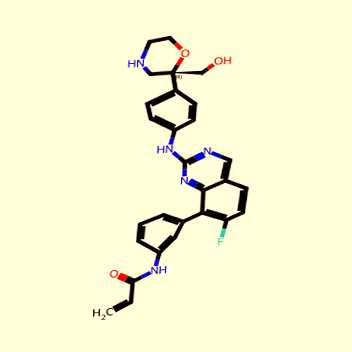 C=CC(=O)Nc1cccc(-c2c(F)ccc3cnc(Nc4ccc([C@]5(CO)CNCCO5)cc4)nc23)c1